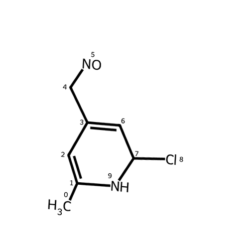 CC1=CC(CN=O)=CC(Cl)N1